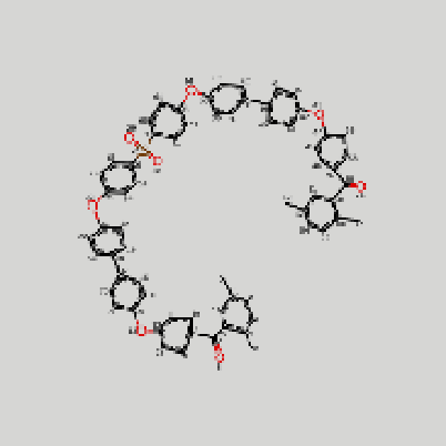 Cc1ccc(C)c(C(=O)c2ccc(Oc3ccc(-c4ccc(Oc5ccc(S(=O)(=O)c6ccc(Oc7ccc(-c8ccc(Oc9ccc(C(=O)c%10cc(C)ccc%10C)cc9)cc8)cc7)cc6)cc5)cc4)cc3)cc2)c1